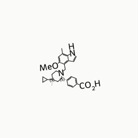 COc1cc(C)c2[nH]ccc2c1CN1CC[C@](C)(C2CC2)C[C@H]1c1ccc(C(=O)O)cc1